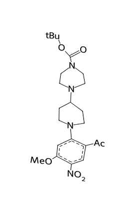 COc1cc(N2CCC(N3CCN(C(=O)OC(C)(C)C)CC3)CC2)c(C(C)=O)cc1[N+](=O)[O-]